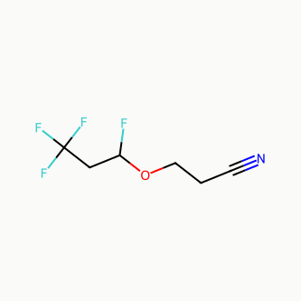 N#CCCOC(F)CC(F)(F)F